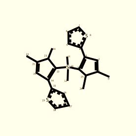 CC1=CC(c2cccs2)=C([Si](C)(C)C2=C(c3cccs3)C=C(C)C2C)C1C